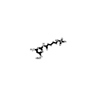 CCCCOc1cc(C)nc(NC(=O)CCCCNS(=O)(=O)C(C)C)n1